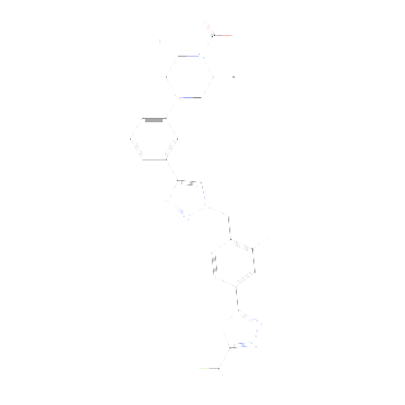 C[C@@H]1CN(c2cccc(-c3cn(Cc4ccc(-c5nnc(C(F)F)o5)cc4F)nn3)c2)C[C@H](C)N1C(=O)O